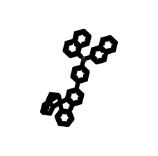 c1ccc2c(c1)-c1ccc(-c3ccc(N(c4ccc5ccccc5c4)c4cccc5ccccc45)cc3)cc1C21C2CC3CC(C2)C1C3